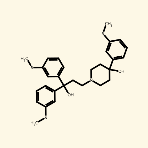 CSc1cccc(C2(O)CCN(CCC(O)(c3cccc(SC)c3)c3cccc(SC)c3)CC2)c1